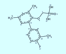 Cc1cc(C)c(OCP(=O)(O)O)c(-c2ccc(F)c(C)c2)c1